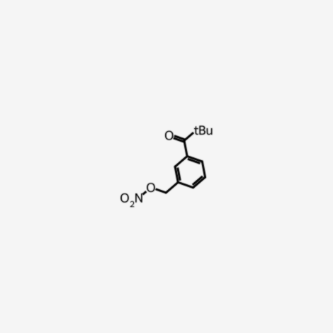 CC(C)(C)C(=O)c1cccc(CO[N+](=O)[O-])c1